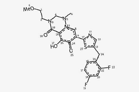 COCCN1CN(C)n2cc(-c3ncc(Cc4ccc(F)cc4F)s3)c(=O)c(O)c2C1=O